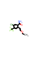 CCOC=Cc1cc(C(F)(F)F)c(Cl)cc1C(N)=O